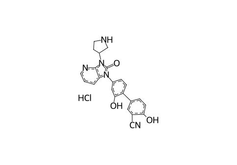 Cl.N#Cc1cc(-c2ccc(-n3c(=O)n(C4CCNC4)c4ncccc43)cc2O)ccc1O